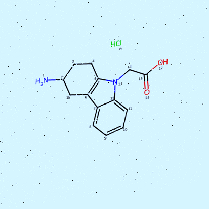 Cl.NC1CCc2c(c3ccccc3n2CC(=O)O)C1